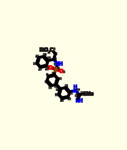 CCOC(=O)CC(NS(=O)(=O)c1cccc(-c2cccc(NC(=N)SC)c2)c1)c1ccccc1